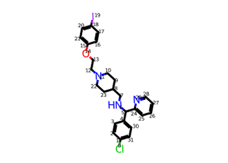 Clc1ccc(C(NCC2CCN(CCOc3ccc(I)cc3)CC2)c2ccccn2)cc1